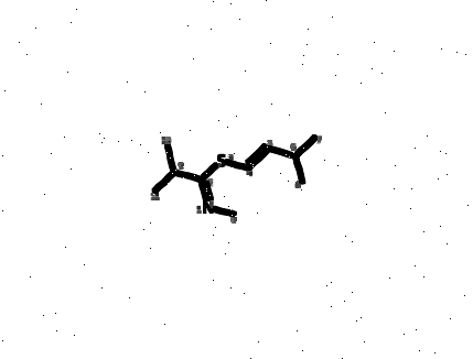 C/N=C(\S/C=C/C(C)C)C(C)C